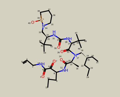 C=CCNC(=O)C(=O)C(CCC)NC(=O)[C@H](C)N(C[C@H](CC)CCC)C(=O)[C@@H](NC(=O)N[C@H](CN1CCCC[S+]1[O-])C(C)(C)C)C(C)(C)C